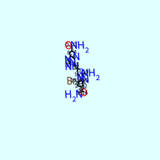 NC(=O)c1cnc2c(c1)nc(N)n2C/C=C/Cn1c(N)nc2cc(C(N)=O)cc(Br)c21